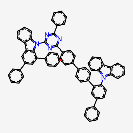 c1ccc(-c2ccc(-n3c4ccccc4c4ccccc43)c(-c3ccc(-c4ccc(-c5nc(-c6ccccc6)nc(-n6c7ccccc7c7cc(-c8ccccc8)cc(-c8ccccc8)c76)n5)cc4)cc3)c2)cc1